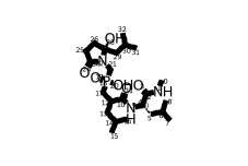 CNC(=O)[C@H](CC(C)C)NC(=O)C(CC(C)C)CP(=O)(O)CN1C(=O)CC[C@@]1(O)CC(C)C